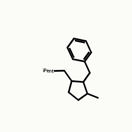 CCCC(C)CC1CCC(C)C1Cc1ccccc1